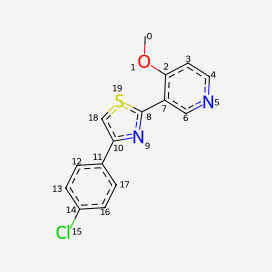 COc1ccncc1-c1nc(-c2ccc(Cl)cc2)cs1